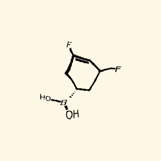 OB(O)[C@@H]1CC(F)=CC(F)C1